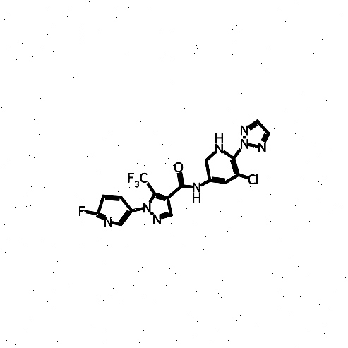 O=C(NC1=CC(Cl)=C(n2nccn2)NC1)c1cnn(-c2ccc(F)nc2)c1C(F)(F)F